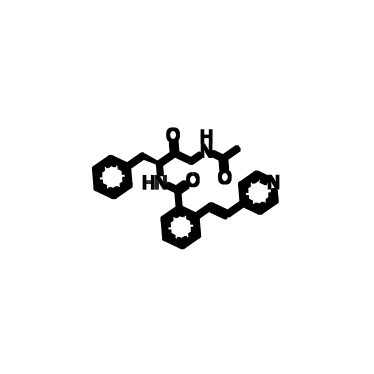 CC(=O)NCC(=O)[C@H](Cc1ccccc1)NC(=O)c1ccccc1C=Cc1ccncc1